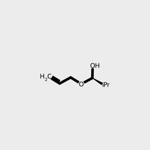 C=CCO[C@@H](O)C(C)C